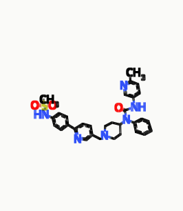 Cc1ccc(NC(=O)N(c2ccccc2)C2CCN(Cc3ccc(-c4ccc(NS(C)(=O)=O)cc4)nc3)CC2)cn1